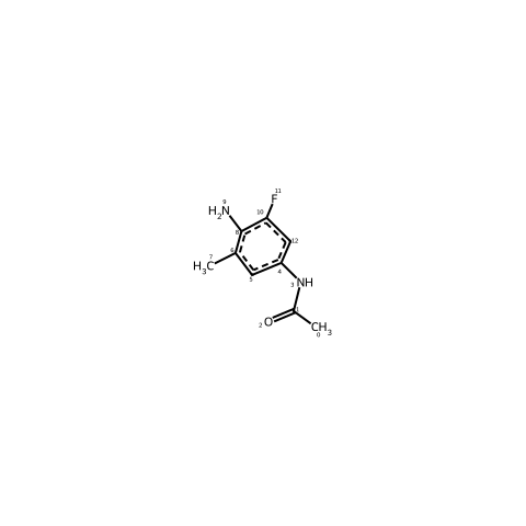 CC(=O)Nc1cc(C)c(N)c(F)c1